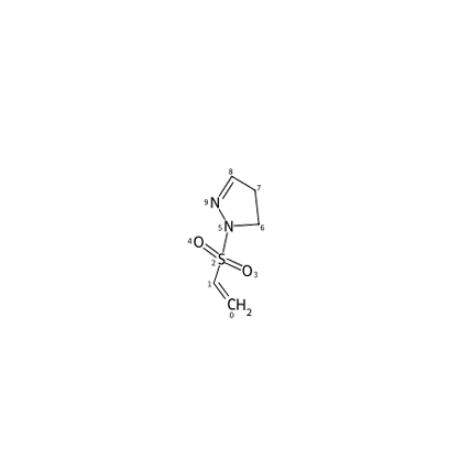 C=CS(=O)(=O)N1CCC=N1